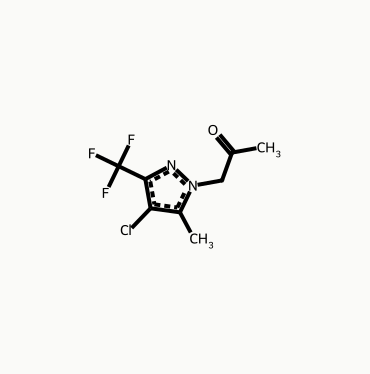 CC(=O)Cn1nc(C(F)(F)F)c(Cl)c1C